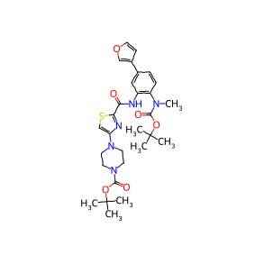 CN(C(=O)OC(C)(C)C)c1ccc(-c2ccoc2)cc1NC(=O)c1nc(N2CCN(C(=O)OC(C)(C)C)CC2)cs1